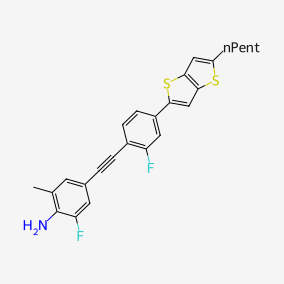 CCCCCc1cc2sc(-c3ccc(C#Cc4cc(C)c(N)c(F)c4)c(F)c3)cc2s1